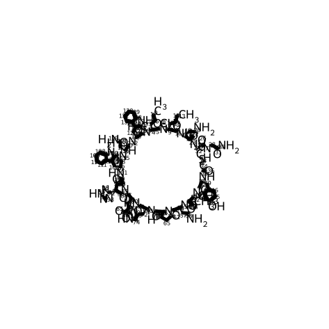 CCCC[C@H]1C(=O)N(C)[C@@H](CCCC)C(=O)N[C@@H](CCN)C(=O)N[C@H](C(=O)NCC(N)=O)CSCC(=O)N[C@@H](Cc2ccc(O)cc2)C(=O)N(C)[C@@H](C)C(=O)N[C@@H](CC(N)=O)C(=O)N2CCC[C@H]2C(=O)N[C@@H](Cc2c[nH]cn2)C(=O)N[C@@H](CCC(=O)O)C(=O)N2C[C@H](c3nn[nH]n3)C[C@H]2C(=O)N[C@@H](Cc2c[nH]c3ccccc23)C(=O)N[C@@H](CCN)C(=O)N[C@@H](Cc2c[nH]c3ccccc23)C(=O)N1C